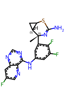 C[C@]1(c2cc(Nc3ncnc4cc(F)cnc34)cc(F)c2F)N=C(N)SC2C[C@H]21